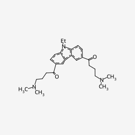 CCn1c2ccc(C(=O)CCCN(C)C)cc2c2cc(C(=O)CCCN(C)C)ccc21